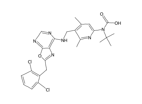 Cc1cc(N(C(=O)O)C(C)(C)C)nc(C)c1CNc1ncnc2oc(Cc3c(Cl)cccc3Cl)nc12